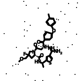 COC[C@@]1(F)C[C@@H](C(=O)NC(C)c2cc(C(=N)N)cs2)N(C(=O)CNC(=O)c2ccc(Oc3ccc(C)cc3)cc2)C1